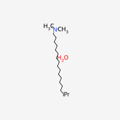 CC(C)CCCCCCCCCCCCCCCN(C)C.O